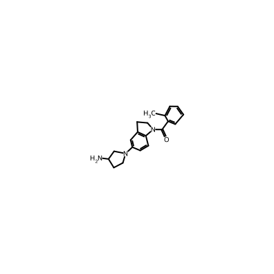 Cc1ccccc1C(=O)N1CCc2cc(N3CCC(N)C3)ccc21